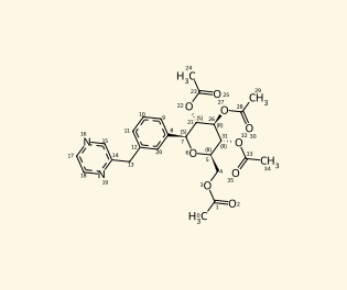 CC(=O)OC[C@H]1O[C@@H](c2cccc(Cc3cnccn3)c2)[C@H](OC(C)=O)[C@@H](OC(C)=O)[C@@H]1OC(C)=O